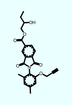 C#CCOc1cc(C)cc(C)c1N1C(=O)c2ccc(C(=O)OCC(O)CC)cc2C1=O